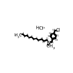 CCCCCCCCCCCCN(C)Cc1ccc(CCl)cc1.Cl